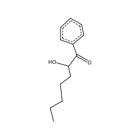 [CH2]CCCCC(O)C(=O)c1ccccc1